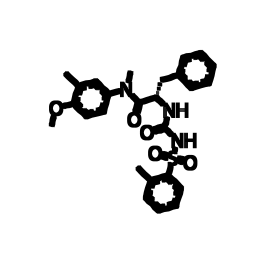 COc1ccc(N(C)C(=O)[C@H](Cc2ccccc2)NC(=O)NS(=O)(=O)c2ccccc2C)cc1C